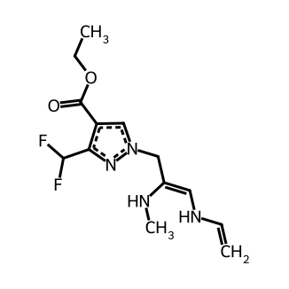 C=CN/C=C(/Cn1cc(C(=O)OCC)c(C(F)F)n1)NC